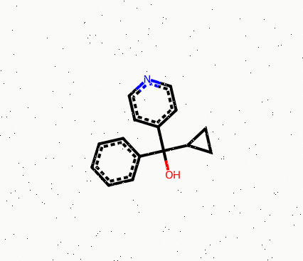 OC(c1ccccc1)(c1ccncc1)C1CC1